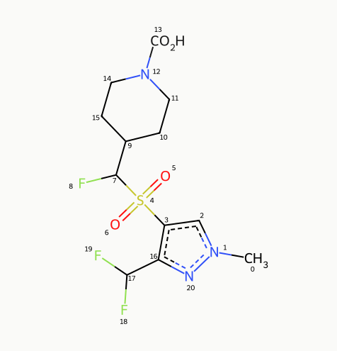 Cn1cc(S(=O)(=O)C(F)C2CCN(C(=O)O)CC2)c(C(F)F)n1